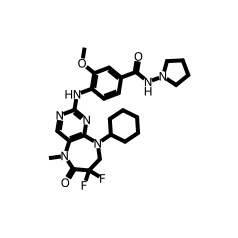 COc1cc(C(=O)NN2CCCC2)ccc1Nc1ncc2c(n1)N(C1CCCCC1)CC(F)(F)C(=O)N2C